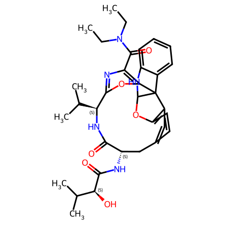 CCN(CC)C(=O)c1nc2oc1C13c4ccccc4NC1Oc1ccc(cc13)C[C@H](NC(=O)[C@@H](O)C(C)C)C(=O)N[C@H]2C(C)C